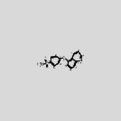 NS(=O)(=O)c1ccc(Nc2cccc3ncccc23)cc1